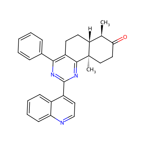 C[C@H]1C(=O)CC[C@@]2(C)c3nc(-c4ccnc5ccccc45)nc(-c4ccccc4)c3CC[C@H]12